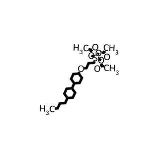 CCCCC1CCC(C2CCC(OCCC[Si](OC(C)=O)(OC(C)=O)OC(C)=O)CC2)CC1